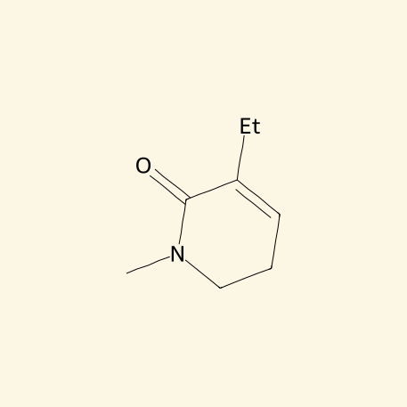 CCC1=CCCN(C)C1=O